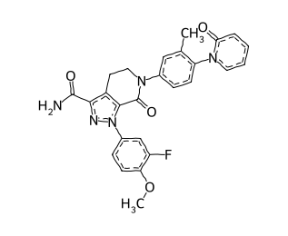 COc1ccc(-n2nc(C(N)=O)c3c2C(=O)N(c2ccc(-n4ccccc4=O)c(C)c2)CC3)cc1F